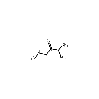 CC(C)NCC(=O)C(C)N